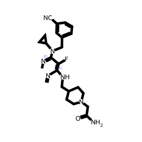 C=N/C(NCC1CCN(CC(N)=O)CC1)=C(F)\C(=N/C)N(Cc1cccc(C#N)c1)C1CC1